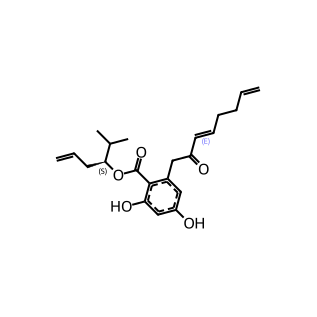 C=CCC/C=C/C(=O)Cc1cc(O)cc(O)c1C(=O)O[C@@H](CC=C)C(C)C